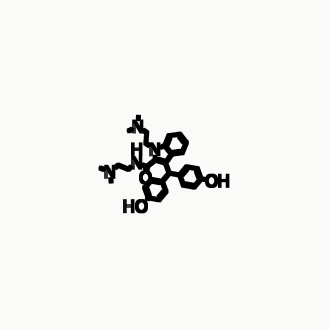 CN(C)CCNC(=O)c1c(C(c2ccc(O)cc2)c2ccc(O)cc2)c2ccccc2n1CCN(C)C